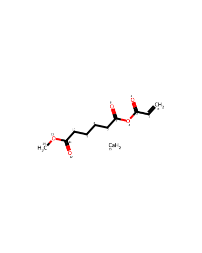 C=CC(=O)OC(=O)CCCCC(=O)OC.[CaH2]